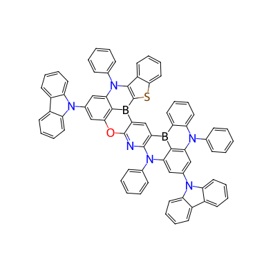 c1ccc(N2c3ccccc3B3c4cc5c(nc4N(c4ccccc4)c4cc(-n6c7ccccc7c7ccccc76)cc2c43)Oc2cc(-n3c4ccccc4c4ccccc43)cc3c2B5c2sc4ccccc4c2N3c2ccccc2)cc1